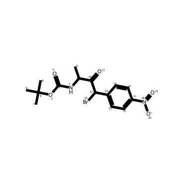 CC(NC(=O)OC(C)(C)C)C(=O)C(Br)c1ccc([N+](=O)[O-])cc1